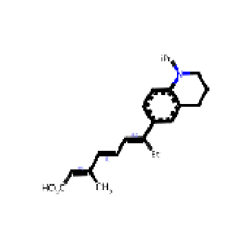 CC\C(=C/C=C/C(C)=C/C(=O)O)c1ccc2c(c1)CCCN2C(C)C